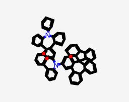 c1ccc(-c2ccccc2N(c2ccc3c(c2)-c2ccccc2N(c2ccccc2)c2ccccc2-3)c2ccc3c(c2)-c2ccccc2-c2ccccc2C32c3ccccc3-c3ccccc32)cc1